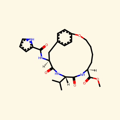 COC(=O)[C@@H]1CCCCOc2ccc(cc2)C[C@H](NC(=O)c2ccc[nH]2)C(=O)N[C@@H](C(C)C)C(=O)N1